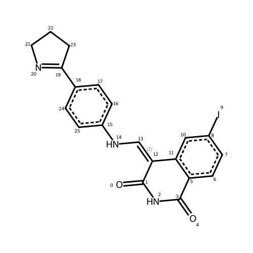 O=C1NC(=O)c2ccc(I)cc2/C1=C/Nc1ccc(C2=NCCC2)cc1